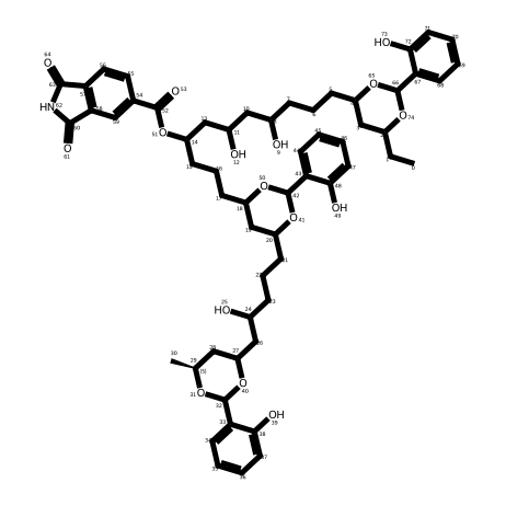 CCC1CC(CCCC(O)CC(O)CC(CCCC2CC(CCCC(O)CC3C[C@H](C)OC(c4ccccc4O)O3)OC(c3ccccc3O)O2)OC(=O)c2ccc3c(c2)C(=O)NC3=O)OC(c2ccccc2O)O1